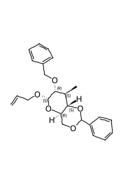 C=CCO[C@H]1O[C@@H]2COC(c3ccccc3)O[C@H]2[C@H](C)[C@H]1OCc1ccccc1